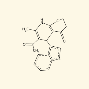 CC(=O)C1=C(C)NC2=C(C(=O)CCC2)C1c1csc2ccccc12